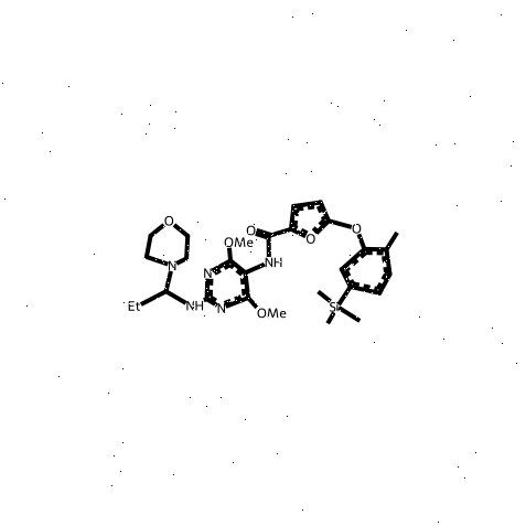 CCC(Nc1nc(OC)c(NC(=O)c2ccc(Oc3cc([Si](C)(C)C)ccc3C)o2)c(OC)n1)N1CCOCC1